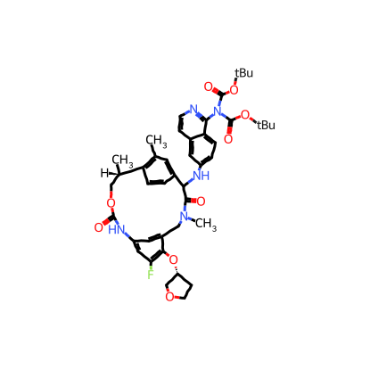 Cc1cc2ccc1[C@@H](C)COC(=O)Nc1cc(F)c(O[C@@H]3CCOC3)c(c1)CN(C)C(=O)C2Nc1ccc2c(N(C(=O)OC(C)(C)C)C(=O)OC(C)(C)C)nccc2c1